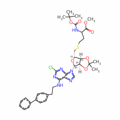 COC(=O)C(CCSC[C@H]1O[C@@H](n2cnc3c(NCCc4ccc(-c5ccccc5)cc4)nc(Cl)nc32)[C@@H]2OC(C)(C)O[C@@H]21)NC(=O)OC(C)(C)C